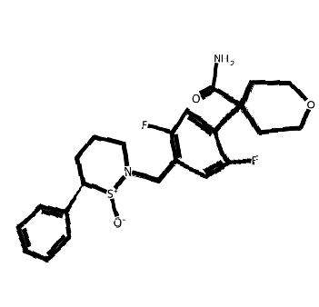 NC(=O)C1(c2cc(F)c(CN3CCC[C@H](c4ccccc4)[S+]3[O-])cc2F)CCOCC1